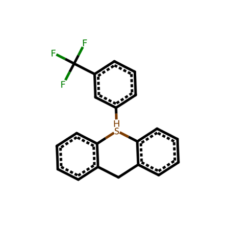 FC(F)(F)c1cccc([SH]2c3ccccc3Cc3ccccc32)c1